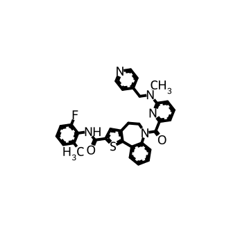 Cc1cccc(F)c1NC(=O)c1cc2c(s1)-c1ccccc1N(C(=O)c1cccc(N(C)Cc3ccncc3)n1)CC2